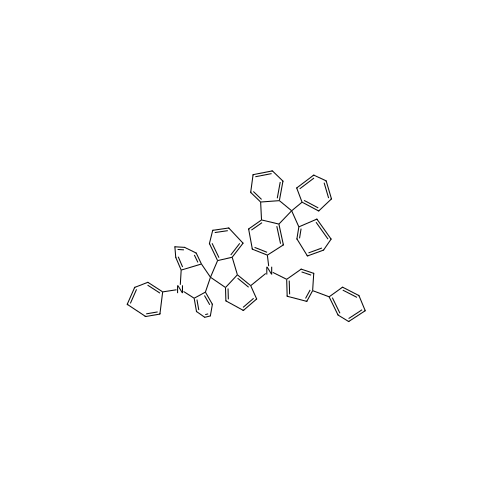 c1ccc(-c2ccc(N(c3ccc4c(c3)C(c3ccccc3)(c3ccccc3)c3ccccc3-4)c3cccc4c3-c3ccccc3C43c4ccccc4N(c4ccccc4)c4ccccc43)cc2)cc1